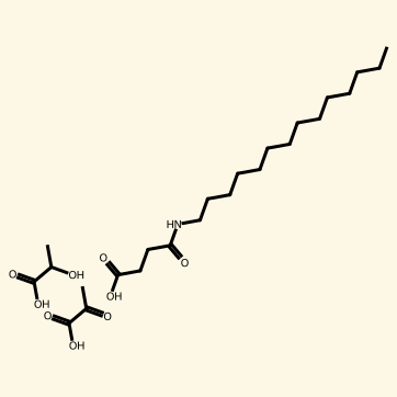 CC(=O)C(=O)O.CC(O)C(=O)O.CCCCCCCCCCCCCCNC(=O)CCC(=O)O